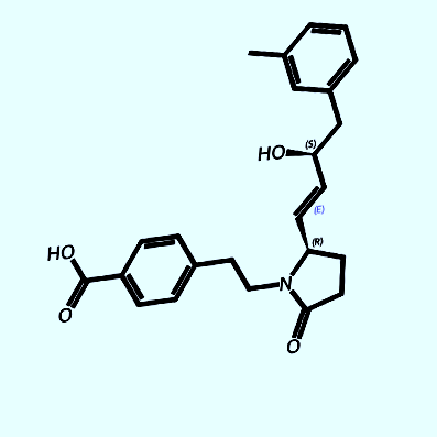 Cc1cccc(C[C@H](O)/C=C/[C@H]2CCC(=O)N2CCc2ccc(C(=O)O)cc2)c1